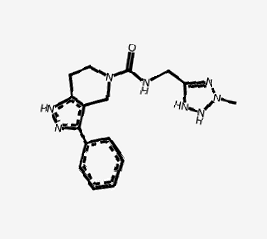 CN1N=C(CNC(=O)N2CCc3[nH]nc(-c4ccccc4)c3C2)NN1